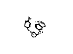 Brc1ccc(CN2CCCC(Nc3ccc4[nH]ncc4c3)C2)cc1